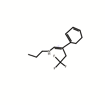 CCCN/C=C(\CC(F)(F)F)C1=CC=CCC1